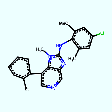 CCc1ccccc1-c1cncc2nc(Nc3c(C)cc(Cl)cc3OC)n(C)c12